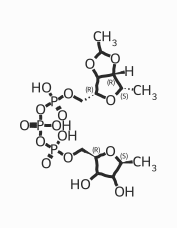 CC1OC2[C@@H](COP(=O)(O)OP(=O)(O)OP(=O)(O)OC[C@H]3O[C@@H](C)C(O)C3O)O[C@@H](C)[C@H]2O1